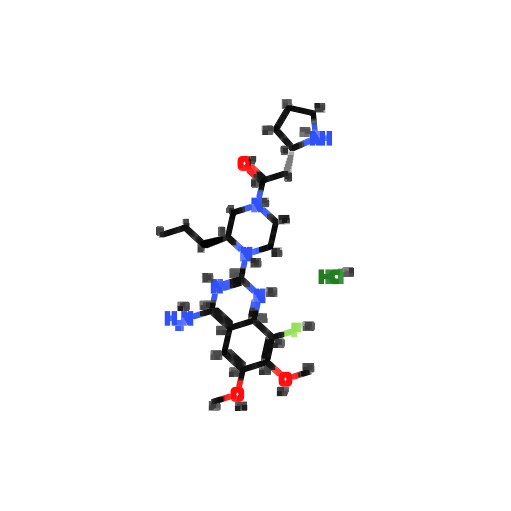 CCC[C@H]1CN(C(=O)C[C@@H]2CCCN2)CCN1c1nc(N)c2cc(OC)c(OC)c(F)c2n1.Cl